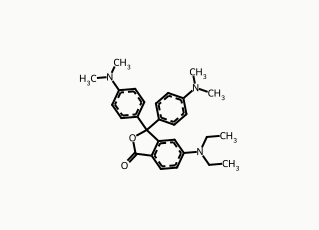 CCN(CC)c1ccc2c(c1)C(c1ccc(N(C)C)cc1)(c1ccc(N(C)C)cc1)OC2=O